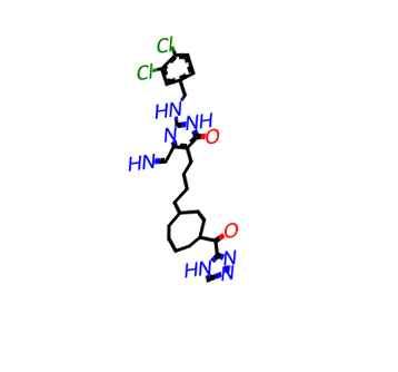 N=Cc1nc(NCc2ccc(Cl)c(Cl)c2)[nH]c(=O)c1CCCCC1CCCCC(C(=O)c2nnc[nH]2)CC1